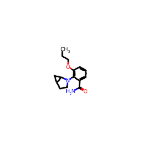 CCCOc1cccc(C(N)=O)c1N1CCC2CC21